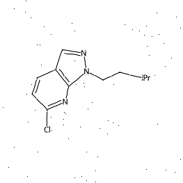 CC(C)CCn1ncc2ccc(Cl)nc21